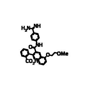 COCCOc1cccc2cc(-c3ccccc3C(=O)O)c(C(=O)Nc3ccc(C(=N)N)cc3)cc12